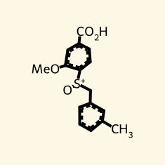 COc1cc(C(=O)O)ccc1[S+]([O-])Cc1cccc(C)c1